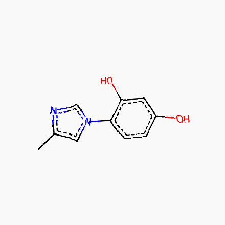 Cc1cn(-c2ccc(O)cc2O)cn1